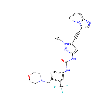 Cn1nc(NC(=O)Nc2ccc(CN3CCOCC3)c(C(F)(F)F)c2)cc1C#Cc1cnc2ccccn12